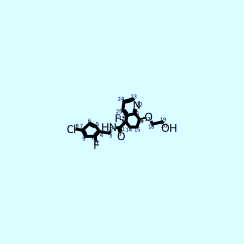 O=C(NCc1ccc(Cl)cc1F)[C@]1(F)CC[C@H](OCCO)c2ncccc21